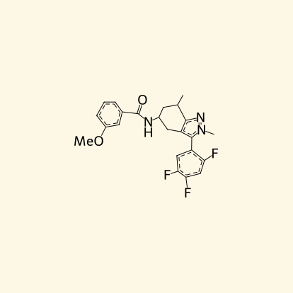 COc1cccc(C(=O)NC2Cc3c(nn(C)c3-c3cc(F)c(F)cc3F)C(C)C2)c1